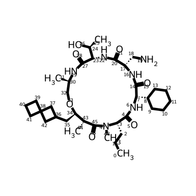 CCC[C@H]1C(=O)N[C@@H](C2CCCCC2)C(=O)N[C@@H](CN)C(=O)N[C@@H]([C@H](C)O)C(=O)N[C@H](C)CO[C@H](CC2CC3(CCC3)C2)[C@@H](C)C(=O)N1C